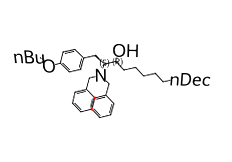 CCCCCCCCCCCCCCC[C@@H](O)[C@H](Cc1ccc(OCCCC)cc1)N(Cc1ccccc1)Cc1ccccc1